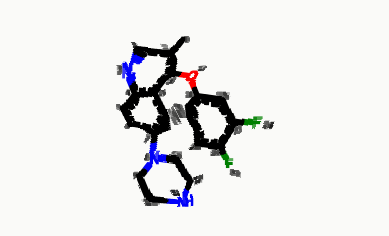 Cc1cnc2ccc(N3CCNCC3)cc2c1Oc1ccc(F)c(F)c1